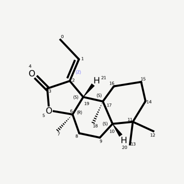 C/C=C1\C(=O)O[C@]2(C)CC[C@H]3C(C)(C)CCC[C@]3(C)[C@@H]12